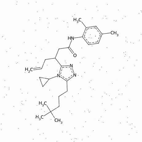 C=CCC(CC(=O)Nc1ccc(C)cc1C)c1nnc(CCCC(C)(C)C)n1C1CC1